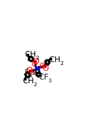 C=Cc1ccc(C(=O)OCC[N+](CCOC(=O)c2ccc(C=C)cc2)(CCOC(=O)c2ccc(C=C)cc2)Cc2cc(C(F)(F)F)ccc2C(F)(F)F)cc1